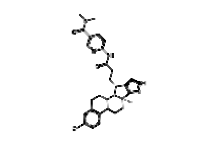 CN(C)C(=O)c1ccc(NC(=O)CC[C@@H]2c3c[nH]nc3[C@@]3(C)CCC4c5ccc(Cl)cc5CCC4C23)nc1